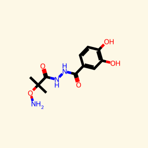 CC(C)(ON)C(=O)NNC(=O)c1ccc(O)c(O)c1